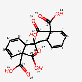 CC(C)(C1C=CC=CC1(C(=O)O)C(=O)O)C1C=CC=CC1(C(=O)O)C(=O)O